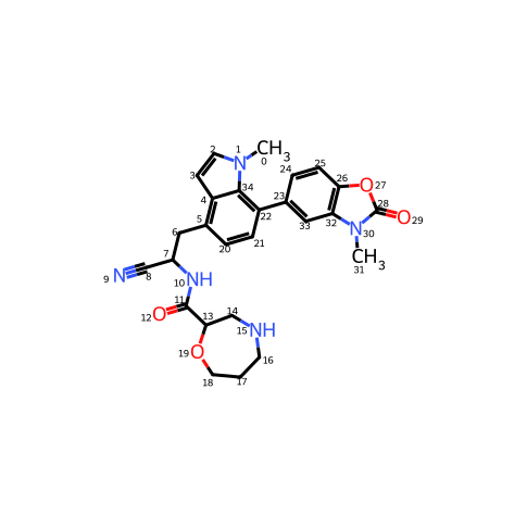 Cn1ccc2c(CC(C#N)NC(=O)C3CNCCCO3)ccc(-c3ccc4oc(=O)n(C)c4c3)c21